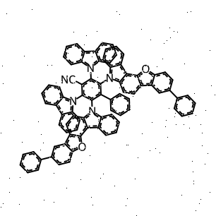 N#Cc1c(-n2c3ccccc3c3ccccc32)c(-n2c3ccccc3c3c4oc5ccc(-c6ccccc6)cc5c4ccc32)c(-c2ccccc2)c(-n2c3ccccc3c3c4oc5ccc(-c6ccccc6)cc5c4ccc32)c1-n1c2ccccc2c2ccccc21